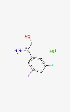 Cl.N[C@H](CO)c1cc(F)cc(I)c1